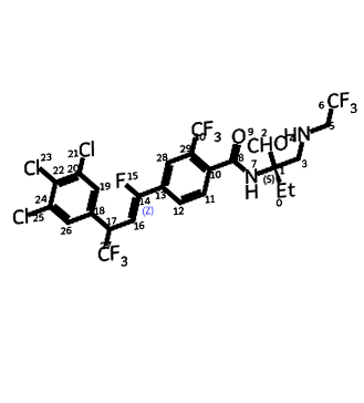 CC[C@@](C=O)(CNCC(F)(F)F)NC(=O)c1ccc(/C(F)=C/C(c2cc(Cl)c(Cl)c(Cl)c2)C(F)(F)F)cc1C(F)(F)F